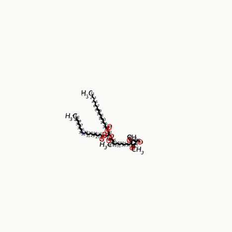 CCCCCCCCC=CCCCCCCCC(=O)OCC(COC(=O)CCCCCCC/C=C\CCCCCCCC)OC(=O)CC(C)CCCCCCCc1c(OC)cc(C=O)cc1OC